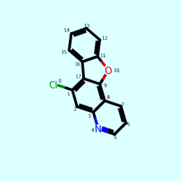 Clc1cc2ncccc2c2oc3ccccc3c12